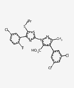 Cc1nn(-c2nc(-c3cc(Cl)ccc3F)c(SC(C)C)s2)c(C(=O)O)c1-c1cc(Cl)cc(Cl)c1